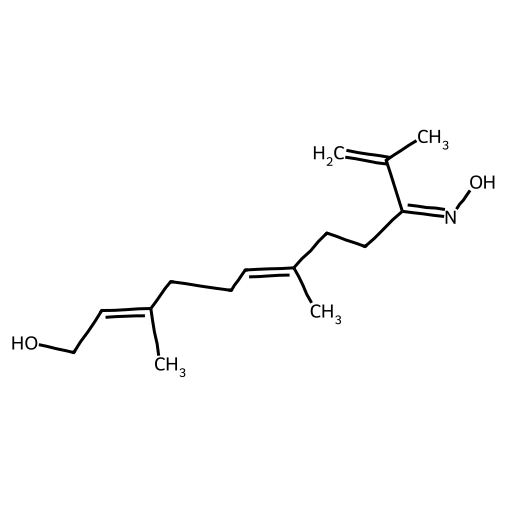 C=C(C)/C(CC/C(C)=C/CC/C(C)=C/CO)=N\O